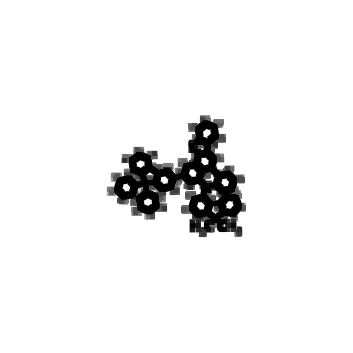 CC1(C)c2ccccc2-c2c(N(c3cccc(-c4ccc5c(c4)-c4ccccc4C5(c4ccccc4)c4ccccc4)c3)c3ccccc3-c3ccc4sc5ccccc5c4c3)cccc21